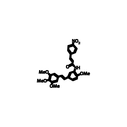 COc1ccc(C=Cc2cc(OC)c(OC)c(OC)c2)cc1NC(=O)/C=C/c1ccc([N+](=O)[O-])cc1